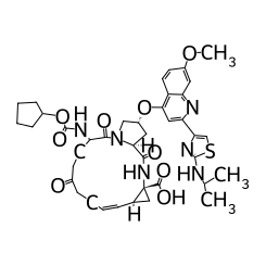 COc1ccc2c(O[C@@H]3C[C@H]4C(=O)N[C@]5(C(=O)O)C[C@H]5/C=C\CCC(=O)CC[C@H](NC(=O)OC5CCCC5)C(=O)N4C3)cc(-c3csc(NC(C)C)n3)nc2c1